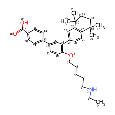 CCNCCCCCOc1ccc(-c2ccc(C(=O)O)cc2)cc1-c1ccc2c(c1)C(C)(C)CCC2(C)C